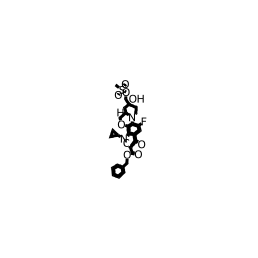 CS(=O)(=O)OCC1(O)CCN2c3c(F)cc4c(=O)c(C(=O)OCc5ccccc5)cn(C5CC5)c4c3OC[C@H]2C1